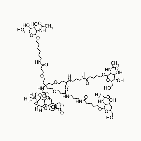 CC(=O)N[C@H]1[C@H](OCCCCCCNC(=O)CCOCCC(CCOCCC(=O)NCCCNC(=O)CCCCO[C@@H]2O[C@H](CO)[C@H](O)[C@H](O)[C@H]2NC(C)=O)(CCOCCC(=O)NCCCNC(=O)CCCCO[C@@H]2O[C@H](CO)C[C@H](O)[C@H]2NC(C)=O)NC(=O)O[C@@H]2[C@@]3(C(C)C)C[C@H]3[C@@H]3O[C@@]34[C@@]3(C)CCC5=C(COC5=O)C3CO[C@]24C)O[C@H](CO)[C@H](O)[C@@H]1O